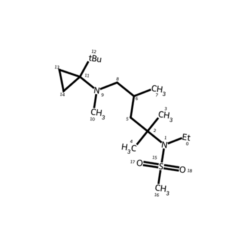 CCN(C(C)(C)CC(C)CN(C)C1(C(C)(C)C)CC1)S(C)(=O)=O